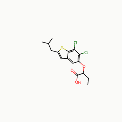 CCC(Oc1cc2cc(CC(C)C)sc2c(Cl)c1Cl)C(=O)O